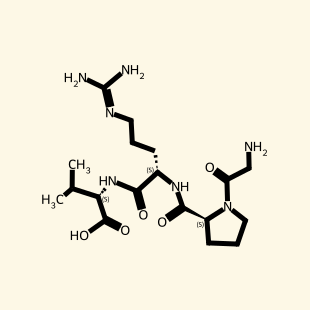 CC(C)[C@H](NC(=O)[C@H](CCCN=C(N)N)NC(=O)[C@@H]1CCCN1C(=O)CN)C(=O)O